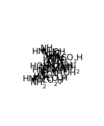 N=C(N)NCCC[C@H](NC(=O)[C@H](CO)NC(=O)[C@H](CC(=O)O)NC(=O)[C@H](CCCNC(=N)N)NC(=O)[C@H](CO)NC(=O)[C@H](CC(=O)O)NC(=O)[C@H](CCCNC(=N)N)NC(=O)[C@@H](N)CO)C(=O)N[C@@H](CC(=O)O)C(=O)O